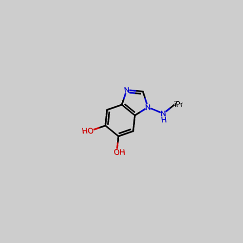 CC(C)Nn1cnc2cc(O)c(O)cc21